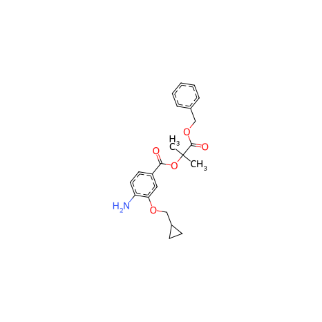 CC(C)(OC(=O)c1ccc(N)c(OCC2CC2)c1)C(=O)OCc1ccccc1